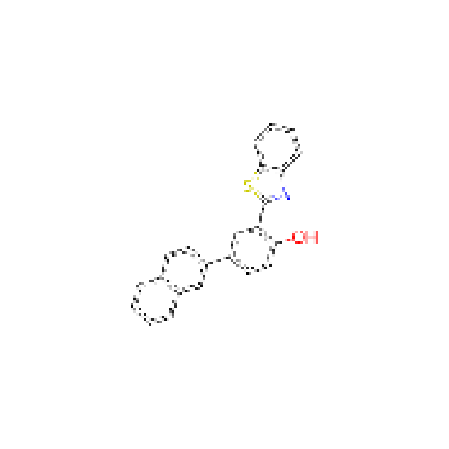 Oc1ccc(-c2ccc3ccccc3c2)cc1-c1nc2ccccc2s1